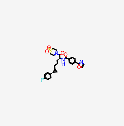 O=C(N[C@@H](CCCC1C[C@H]1c1ccc(F)cc1)C(=O)N1CCS(=O)(=O)CC1)c1ccc(-c2ncco2)cc1